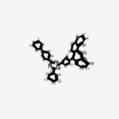 c1ccc(-c2ccc(-c3nc(-c4ccccc4)nc(-c4ccc(-c5c6ccccc6cc6c5ccc5ccccc56)cc4)n3)cc2)cc1